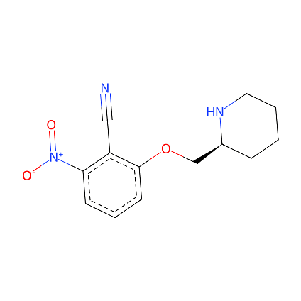 N#Cc1c(OC[C@@H]2CCCCN2)cccc1[N+](=O)[O-]